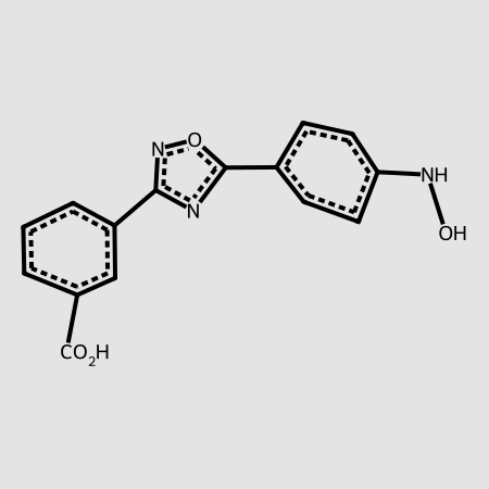 O=C(O)c1cccc(-c2noc(-c3ccc(NO)cc3)n2)c1